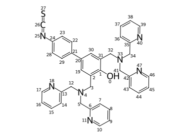 Oc1c(CN(Cc2ccccn2)Cc2ccccn2)cc(-c2ccc(N=C=S)cc2)cc1CN(Cc1ccccn1)Cc1ccccn1